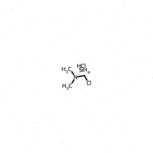 CN(C)CCl.Cl.[SiH4]